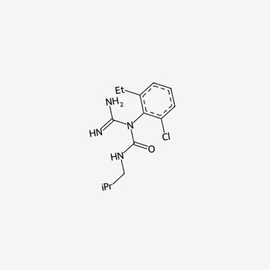 CCc1cccc(Cl)c1N(C(=N)N)C(=O)NCC(C)C